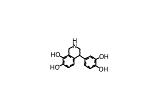 Oc1ccc(C2CNCc3c2ccc(O)c3O)cc1O